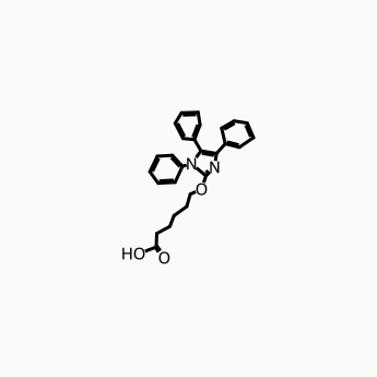 O=C(O)CCCCCOc1nc(-c2ccccc2)c(-c2ccccc2)n1-c1ccccc1